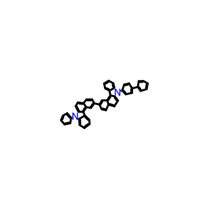 c1ccc(-c2ccc(-n3c4ccccc4c4c5cc(-c6ccc7ccc8c(c7c6)c6ccccc6n8-c6ccccc6)ccc5ccc43)cc2)cc1